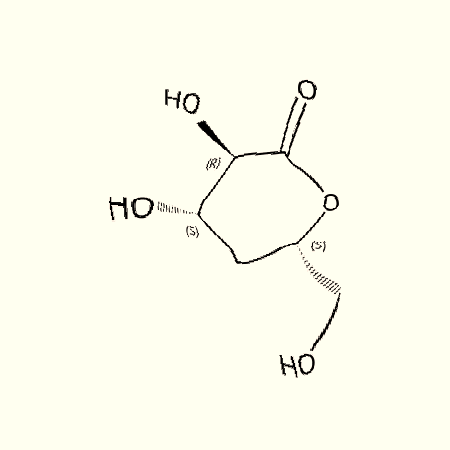 O=C1O[C@H](CO)C[C@H](O)[C@H]1O